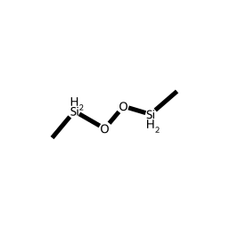 C[SiH2]OO[SiH2]C